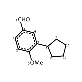 COc1ccc(C=O)cc1C1CCCC1